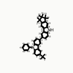 CC(C)(C)c1ccc2c(c1)c1cc(-c3ccc4[nH]c5cc6c(cc5c4c3)C(C)(C)C(C)(C)C6(C)C)ccc1n2-c1ccccc1